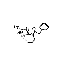 O=C(O)N[C@H]1CCCCN(C(=O)Cc2ccccc2)C1=O